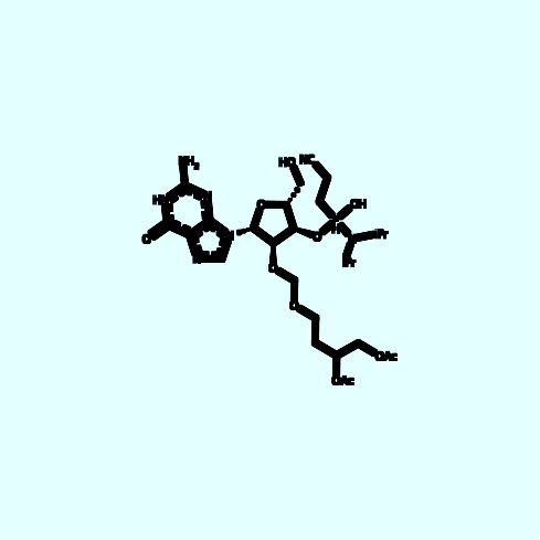 CC(=O)OCC(CCOCO[C@@H]1[C@H](O[PH](O)(CCC#N)N(C(C)C)C(C)C)[C@@H](CO)O[C@H]1n1cnc2c(=O)[nH]c(N)nc21)OC(C)=O